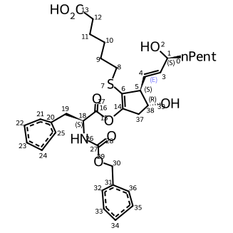 CCCCC[C@H](O)/C=C/[C@@H]1C(SCCCCCC(=O)O)=C(OC(=O)[C@H](Cc2ccccc2)NC(=O)OCc2ccccc2)C[C@H]1O